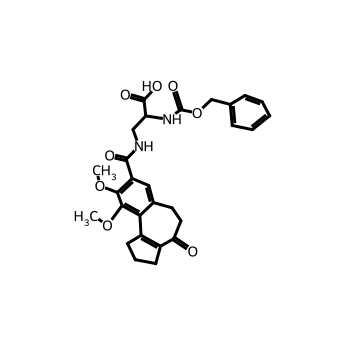 COc1c(C(=O)NCC(NC(=O)OCc2ccccc2)C(=O)O)cc2c(c1OC)C1=C(CCC1)C(=O)CC2